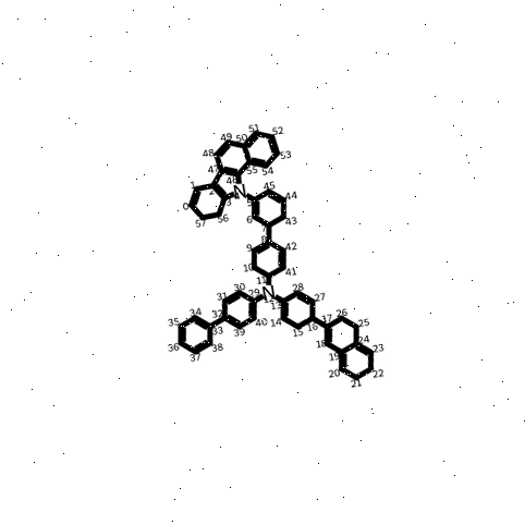 C1=Cc2c(n(C3=CC(C4=CCC(N(C5=CCC(C6=CC7=CCCC=C7CC6)C=C5)c5ccc(-c6ccccc6)cc5)C=C4)CC=C3)c3c2ccc2ccccc23)CC1